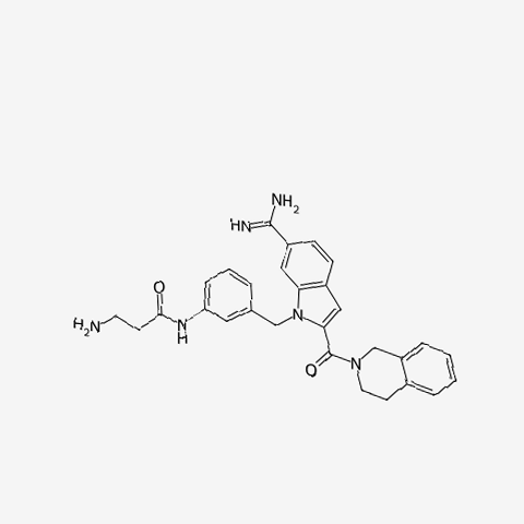 N=C(N)c1ccc2cc(C(=O)N3CCc4ccccc4C3)n(Cc3cccc(NC(=O)CCN)c3)c2c1